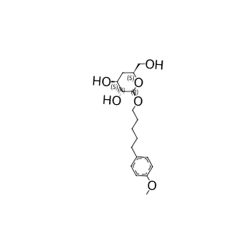 COc1ccc(CCCCCO[C@@H]2O[C@H](CO)C[C@H](O)[C@H]2O)cc1